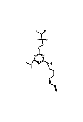 C=C/C=C\C=C/CNc1nc(NC)nc(OCC(F)(F)C(F)F)n1